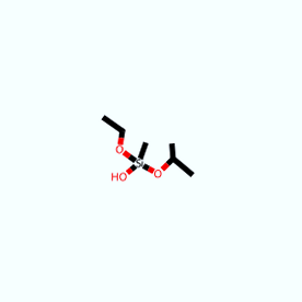 CCO[Si](C)(O)OC(C)C